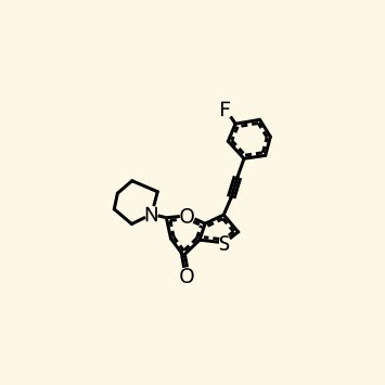 O=c1cc(N2CCCCC2)oc2c(C#Cc3cccc(F)c3)csc12